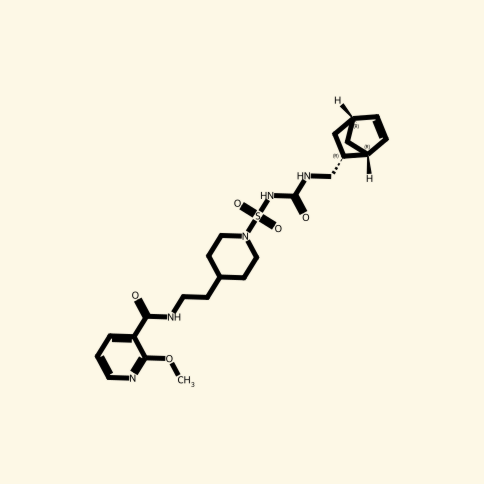 COc1ncccc1C(=O)NCCC1CCN(S(=O)(=O)NC(=O)NC[C@@H]2C[C@@H]3C=C[C@H]2C3)CC1